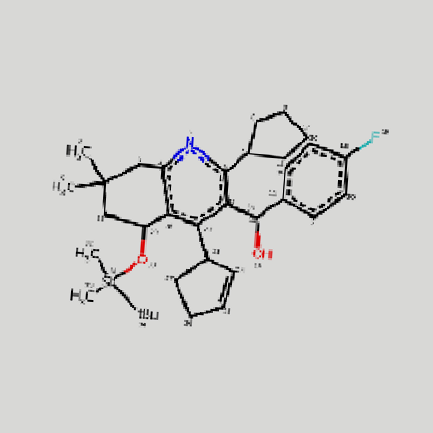 CC1(C)Cc2nc(C3CCCC3)c([C@H](O)c3ccc(F)cc3)c(C3C=CCC3)c2C(O[Si](C)(C)C(C)(C)C)C1